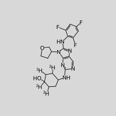 [2H]C1C(Nc2ncc3nc(Nc4c(F)cc(F)cc4F)n(C4CCOC4)c3n2)CC([2H])C([2H])(O)C1[2H]